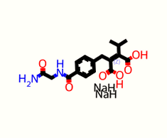 CC(C)/C(C(=O)O)=C(\Cc1ccc(C(=O)NCC(N)=O)cc1)C(=O)O.[NaH].[NaH]